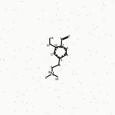 C=Cc1ccc(CCN(C)C)cc1CC